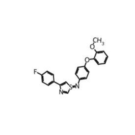 COc1ccccc1Oc1ccc(N=S2C=NC(c3ccc(F)cc3)=C2)cc1